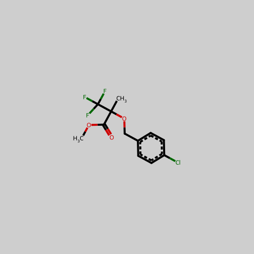 COC(=O)C(C)(OCc1ccc(Cl)cc1)C(F)(F)F